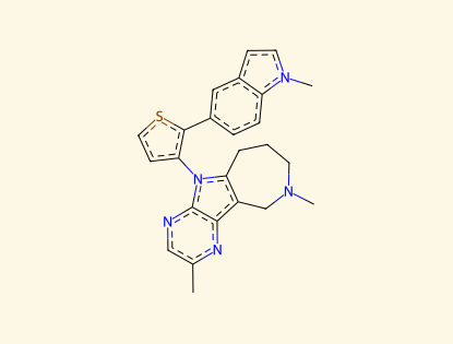 Cc1cnc2c(n1)c1c(n2-c2ccsc2-c2ccc3c(ccn3C)c2)CCCN(C)C1